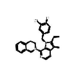 CCc1c(C)c2ccnc(N3CCc4ccccc4C3)c2n1Cc1ccc(Cl)c(Cl)c1